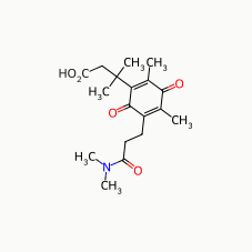 CC1=C(CCC(=O)N(C)C)C(=O)C(C(C)(C)CC(=O)O)=C(C)C1=O